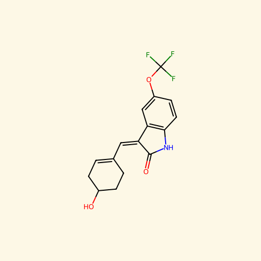 O=C1Nc2ccc(OC(F)(F)F)cc2C1=CC1=CCC(O)CC1